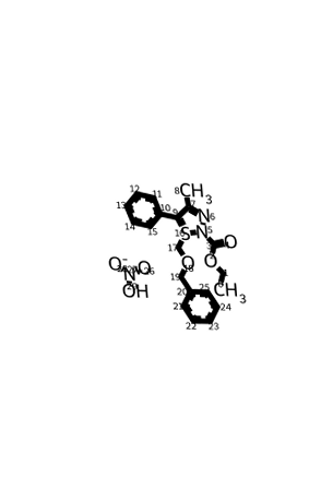 CCOC(=O)N1N=C(C)C(c2ccccc2)=S1COCc1ccccc1.O=[N+]([O-])O